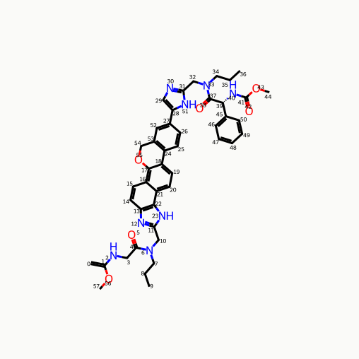 C=C(NCC(=O)N(CCC)Cc1nc2ccc3c4c(ccc3c2[nH]1)-c1ccc(-c2cnc(CN(CCC)C(=O)[C@H](NC(=O)OC)c3ccccc3)[nH]2)cc1CO4)OC